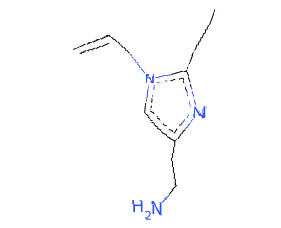 C=Cn1cc(CN)nc1C